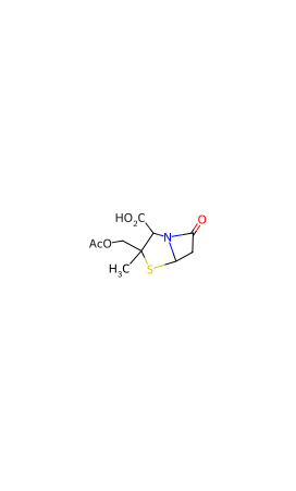 CC(=O)OCC1(C)SC2CC(=O)N2C1C(=O)O